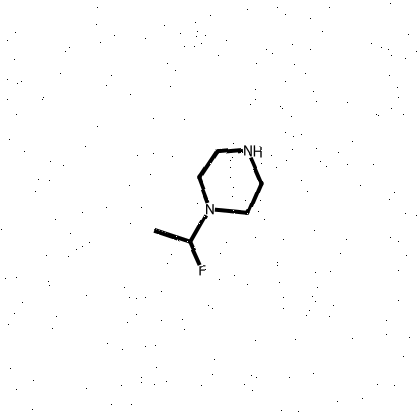 CC(F)N1CCNCC1